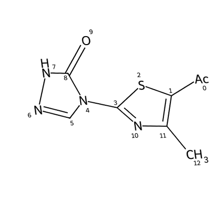 CC(=O)c1sc(-n2cn[nH]c2=O)nc1C